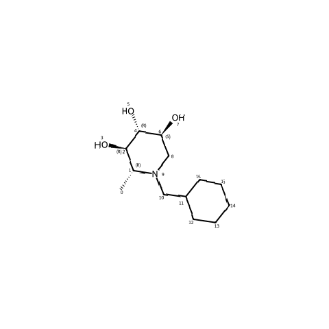 C[C@@H]1[C@@H](O)[C@H](O)[C@@H](O)CN1CC1CCCCC1